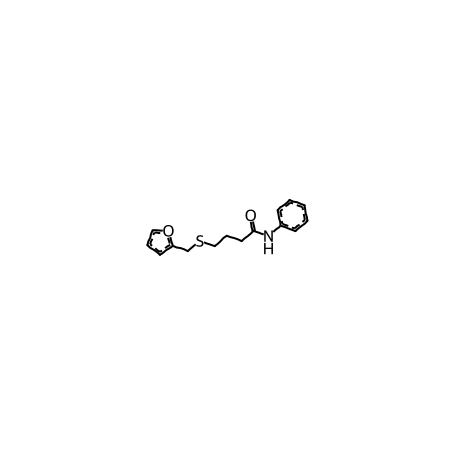 O=C(CCCSCc1ccco1)Nc1ccccc1